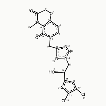 CN1C(=O)COc2ncn(Cc3nnn(C[C@H](O)c4cc(Cl)c(Cl)s4)n3)c(=O)c21